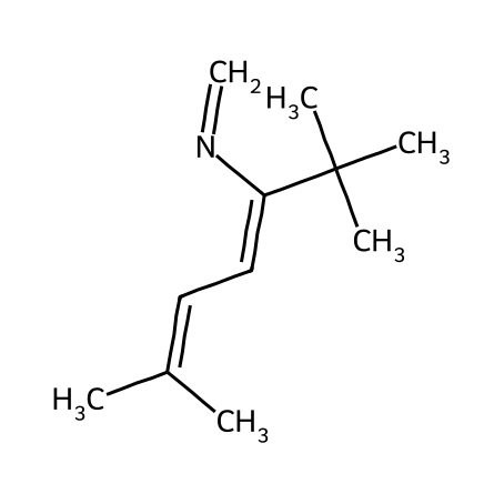 C=N/C(=C\C=C(C)C)C(C)(C)C